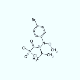 CON(c1ccc(Br)cc1)[C@H](C(=O)P(=O)(Cl)Cl)C(C)C